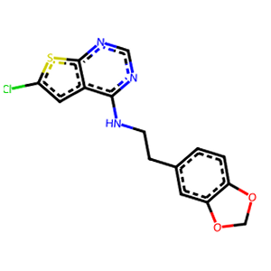 Clc1cc2c(NCCc3ccc4c(c3)OCO4)ncnc2s1